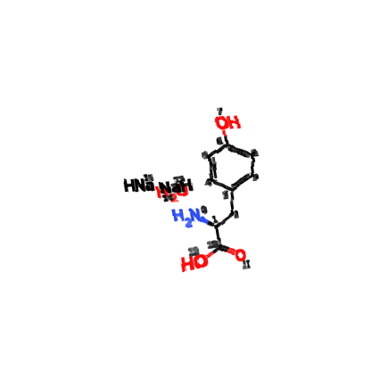 N[C@@H](Cc1ccc(O)cc1)C(=O)O.O.[NaH].[NaH]